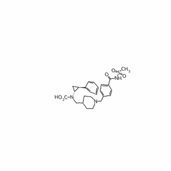 CS(=O)(=O)NC(=O)c1ccc(CN2CCC(CN(C(=O)O)[C@@H]3C[C@H]3c3ccccc3)CC2)cc1